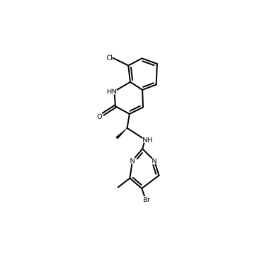 Cc1nc(N[C@@H](C)c2cc3cccc(Cl)c3[nH]c2=O)ncc1Br